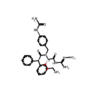 NCCC[C@@H](C(=O)NC(N)=N[N+](=O)[O-])N(Cc1ccc(NC(N)=O)cc1)C(=O)C(c1ccccc1)c1ccccc1